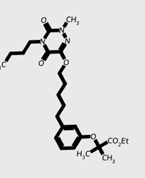 CCOC(=O)C(C)(C)Oc1cccc(CCCCCOc2nn(C)c(=O)n(CCCC(F)(F)F)c2=O)c1